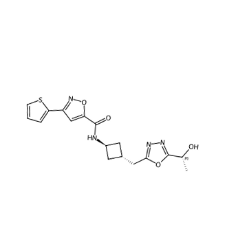 C[C@@H](O)c1nnc(C[C@H]2C[C@H](NC(=O)c3cc(-c4cccs4)no3)C2)o1